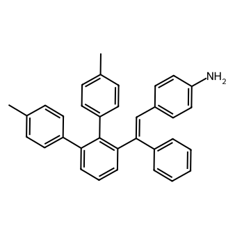 Cc1ccc(-c2cccc(C(=Cc3ccc(N)cc3)c3ccccc3)c2-c2ccc(C)cc2)cc1